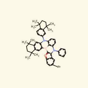 CC(C)c1ccc2oc3c(c2c1)N(c1ccccc1)c1cccc2c1B3c1cc3c(cc1N2c1ccc2c(c1)C(C)(C)CCC2(C)C)C(C)(C)CCC3(C)C